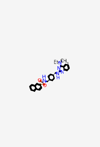 CCN(C)c1nc(NC[C@H]2CC[C@H](CNS(=O)(=O)c3ccc4ccccc4c3)CC2)nc2ccccc12